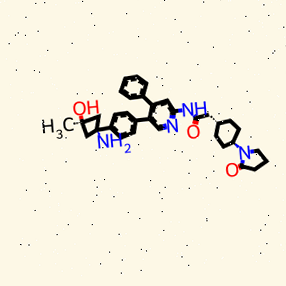 C[C@]1(O)C[C@@](N)(c2ccc(-c3cnc(NC(=O)C[C@H]4CC[C@H](N5CCCC5=O)CC4)cc3-c3ccccc3)cc2)C1